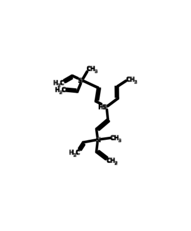 C=C[Si](C)(C=C)C=C[SiH](C=CC)C=C[Si](C)(C=C)C=C